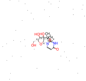 CC(C)(C)[Si](C)(C)[C@@]1(O)[C@H](O)[C@@H](CO)O[C@H]1n1ccc(=O)[nH]c1=O